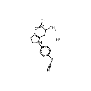 CC(CC1=NCC[SH]1c1ccc(SC#N)cc1)[N+](=O)[O-].[H+]